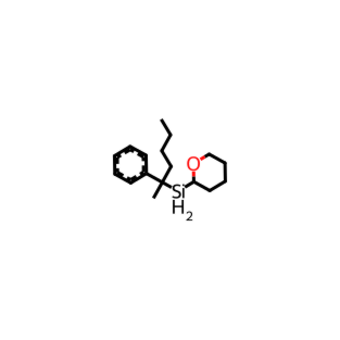 CCCCC(C)([SiH2]C1CCCCO1)c1ccccc1